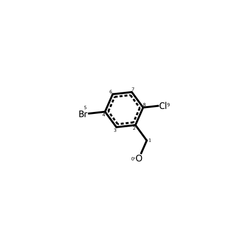 [O]Cc1cc(Br)ccc1Cl